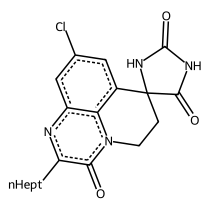 CCCCCCCc1nc2cc(Cl)cc3c2n(c1=O)CCC31NC(=O)NC1=O